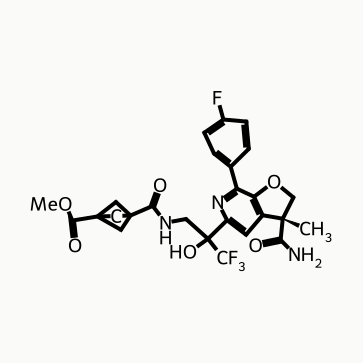 COC(=O)C12CC(C(=O)NCC(O)(c3cc4c(c(-c5ccc(F)cc5)n3)OC[C@]4(C)C(N)=O)C(F)(F)F)(C1)C2